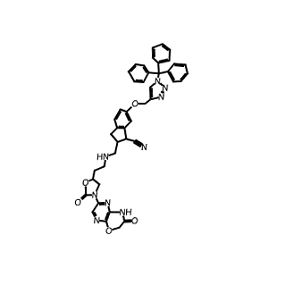 N#CC1c2cc(OCc3cn(C(c4ccccc4)(c4ccccc4)c4ccccc4)nn3)ccc2CC1CNCCC1CN(c2cnc3c(n2)NC(=O)CO3)C(=O)O1